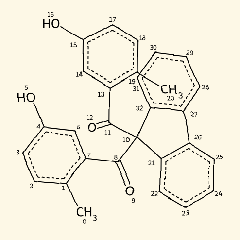 Cc1ccc(O)cc1C(=O)C1(C(=O)c2cc(O)ccc2C)c2ccccc2-c2ccccc21